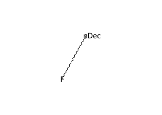 CCCCCCCCCCCCCCCCCCCCCCCCCCCCCCCCCCCCF